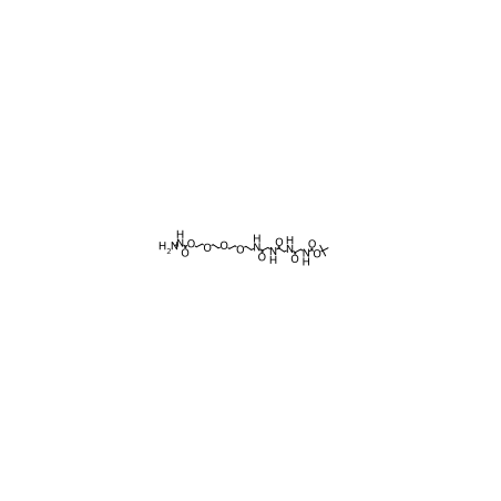 CC(C)(C)OC(=O)NCC(=O)NCC(=O)NCC(=O)NCCOCCOCCOCCOC(=O)NN